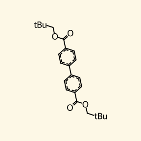 CC(C)(C)COC(=O)c1ccc(-c2ccc(C(=O)OCC(C)(C)C)cc2)cc1